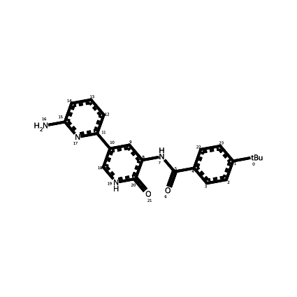 CC(C)(C)c1ccc(C(=O)Nc2cc(-c3cccc(N)n3)c[nH]c2=O)cc1